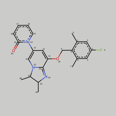 Cc1cc(F)cc(C)c1COC1=CC(n2ccccc2=O)=CN2C1=NC(C)C2C